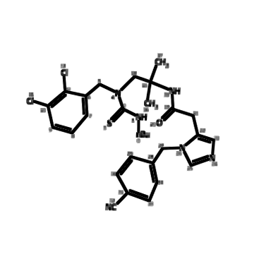 CCCCNC(=S)N(Cc1cccc(Cl)c1Cl)CC(C)(C)NC(=O)Cc1cncn1Cc1ccc(C#N)cc1